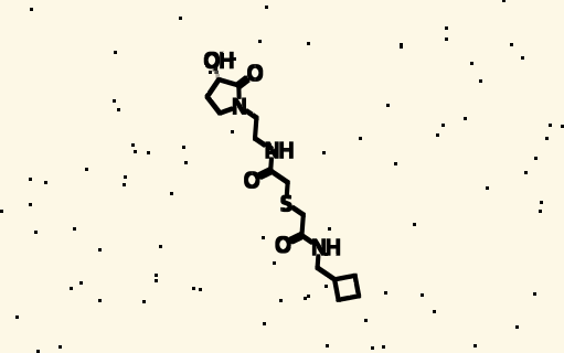 O=C(CSCC(=O)NCC1CCC1)NCCN1CC[C@H](O)C1=O